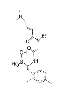 CCN(CC(=O)N[C@@H](Cc1ccc(C)cc1C)B(O)O)C(=O)C=CCN(C)C